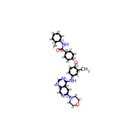 Cc1cc(Nc2ncnc3cnc(N4CCOCC4)cc23)ccc1Oc1ccc(C(=O)Nc2ccccc2F)cc1